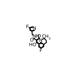 CC1CCc2cc(F)cc3c(O)c(C(=O)NCc4cncc(F)c4)c(=O)n1c23